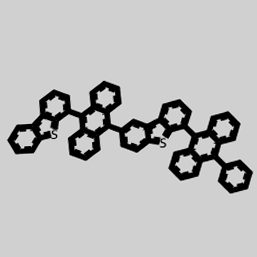 c1ccc(-c2c3ccccc3c(-c3cccc4c3sc3ccc(-c5c6ccccc6c(-c6cccc7c6sc6ccccc67)c6ccccc56)cc34)c3ccccc23)cc1